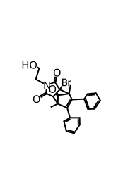 CC12C(=O)C(C)(C(c3ccccc3)=C1c1ccccc1)C1(Br)C(=O)N(CCO)C(=O)C21